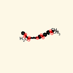 C=C(C)C(=O)Oc1ccc(-c2ccc(C(=O)Oc3ccc(OCCCCCCOC(=O)C(=C)CC(=O)OC4CCCCC4)cc3)cc2)cc1